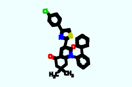 CC1(C)CC(=O)c2cc(-c3nc(-c4ccc(Cl)cc4)cs3)c(=O)n(-c3ccccc3-c3ccccc3)c2C1